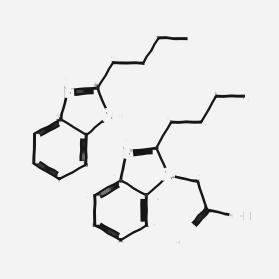 CCCCc1nc2ccccc2[nH]1.CCCCc1nc2ccccc2n1CC(=O)O